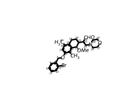 CO[C@H]1c2c(C)c(OCc3ccccc3Br)cc(C)c2CCC1C(C=O)CN1CCOCC1